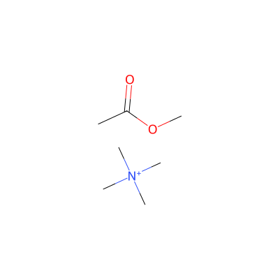 COC(C)=O.C[N+](C)(C)C